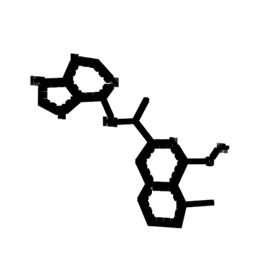 Cc1cccc2cc(C(C)Nc3ncnc4[nH]cnc34)nc(OC(C)C)c12